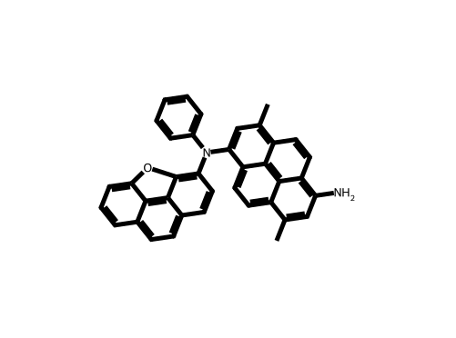 Cc1cc(N)c2ccc3c(C)cc(N(c4ccccc4)c4ccc5ccc6cccc7oc4c5c67)c4ccc1c2c34